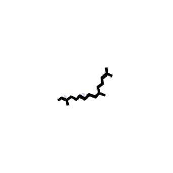 C/C=C(\C)CC/C=C/CCC(C)CCC=C(C)C